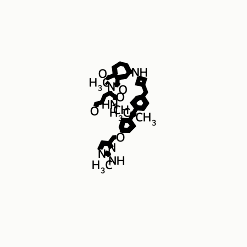 CNC(=O)C(CCC=O)N(C)C(=O)C1=CC(NC2CC(Cc3ccc(C(C)(C)c4ccc(OCc5ccnc(NC)n5)cc4)cc3)C2)=CCC=C1C=O